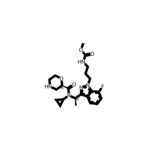 COC(=O)NCCCn1nc([C@@H](C)N(C(=O)[C@H]2CNCCO2)C2CC2)c2cccc(F)c21